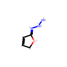 [NH]NN=C1C=CCO1